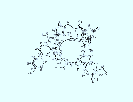 CC[C@H]1OC(=O)[C@H](C)[C@@H](O[C@H]2C[C@@](C)(OC)[C@@H](O)[C@H](C)O2)[C@H](C)[C@@H](O[C@@H]2O[C@H](C)C[C@H](N(C)CCc3cn([C@H](CF)[C@H](OC)c4ccc(-c5ccc(C)nc5)cc4)nn3)[C@H]2O)[C@](C)(O)C[C@@H](C)CN(C)[C@H](C)[C@@H](O)[C@]1(C)O